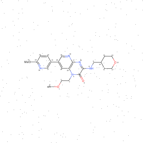 CCCOCCn1c(=O)c(NCC2CCOCC2)nc2ncc(-c3ccc(OC)nc3)cc21